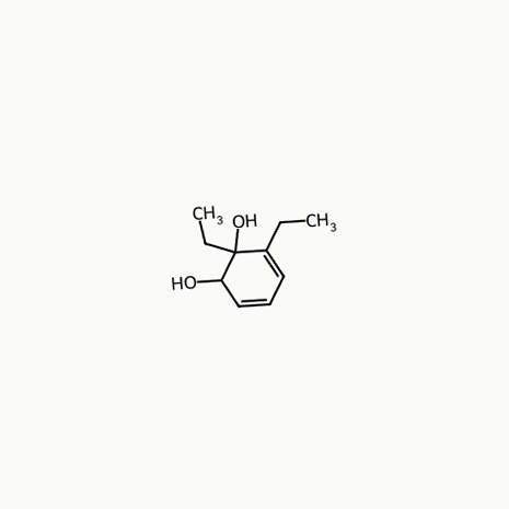 CCC1=CC=CC(O)C1(O)CC